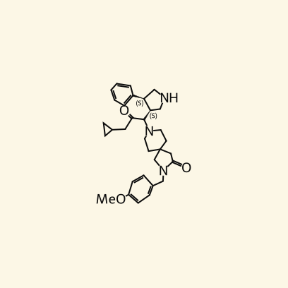 COc1ccc(CN2CC3(CCN(C(C(=O)CC4CC4)[C@@H]4CNC[C@@H]4c4ccccc4)CC3)CC2=O)cc1